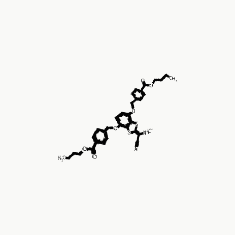 [C-]#[N+]C(C#N)=C1Sc2c(OCc3ccc(C(=O)OCCCC)cc3)ccc(OCc3ccc(C(=O)OCCCC)cc3)c2S1